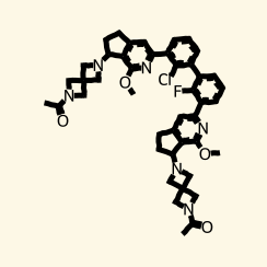 COc1nc(-c2cccc(-c3cccc(-c4cc5c(c(OC)n4)C(N4CC6(CN(C(C)=O)C6)C4)CC5)c3Cl)c2F)cc2c1C(N1CC3(CN(C(C)=O)C3)C1)CC2